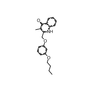 CCCCOc1cccc(OCc2[nH]c3ccccc3c(=O)c2C)c1